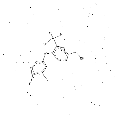 OCc1ccc(Oc2ccc(F)c(F)c2)c(C(F)(F)F)c1